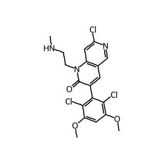 CNCCn1c(=O)c(-c2c(Cl)c(OC)cc(OC)c2Cl)cc2cnc(Cl)cc21